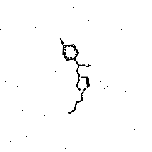 CCCCN1C=CN(CC(O)c2ccc(C)cc2)C1